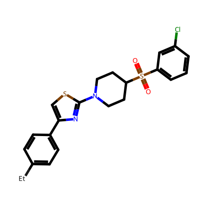 CCc1ccc(-c2csc(N3CCC(S(=O)(=O)c4cccc(Cl)c4)CC3)n2)cc1